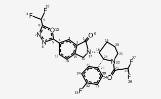 O=C1c2cc(-c3nnc(C(F)F)o3)ccc2CN1[C@@H]1CCCN(C(=O)C(F)F)[C@@H]1c1ccc(F)cc1